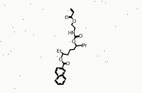 C=CC(=O)OCCNC(=O)OC(CCCC(CC)OC(=O)c1ccc2ccccc2c1)C(C)C